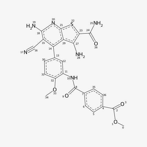 COC(=O)c1ccc(C(=O)Nc2cc(-c3c(C#N)c(N)nc4sc(C(N)=O)c(N)c34)ccc2OC)cc1